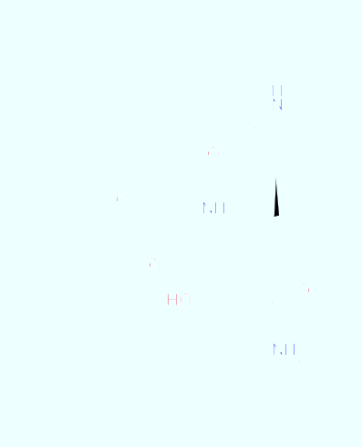 CC(C)(C)OC(=O)NC(C[C@@H]1CCNC1=O)C(O)C(N)=O